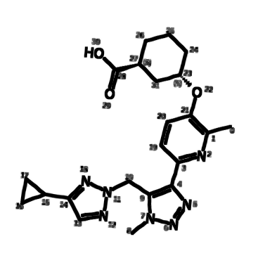 Cc1nc(-c2nnn(C)c2Cn2ncc(C3CC3)n2)ccc1O[C@H]1CCC[C@H](C(=O)O)C1